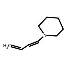 C=C[C]=CN1CCCCC1